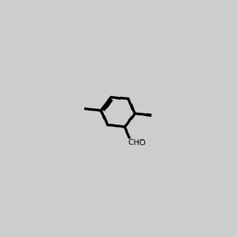 CC1=CCC(C)C(C=O)C1